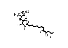 CCNC(=O)[C@H](C)NC(=O)[C@@H](NC(=O)CCCCC/C=C\C(=O)C(C)CC(C)=O)C(C)C